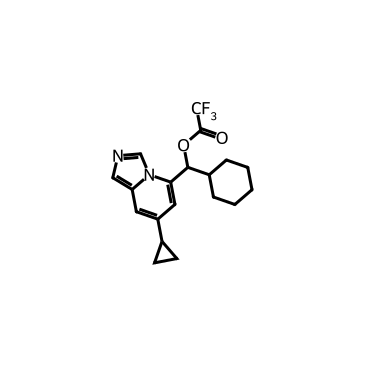 O=C(OC(c1cc(C2CC2)cc2cncn12)C1CCCCC1)C(F)(F)F